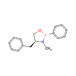 CN1B(c2ccccc2)OC[C@@H]1Cc1ccccc1